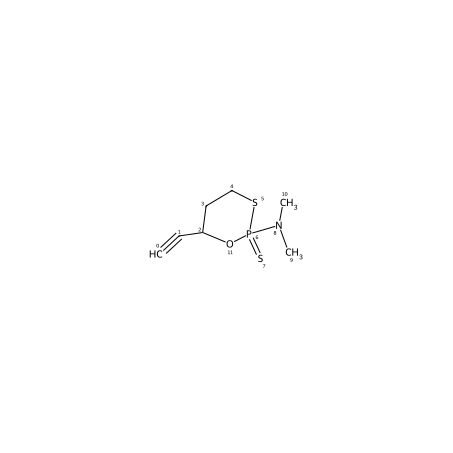 C#CC1CCSP(=S)(N(C)C)O1